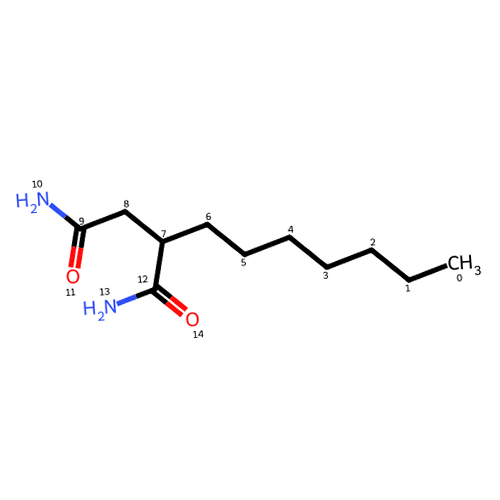 CCCCCCCC(CC(N)=O)C(N)=O